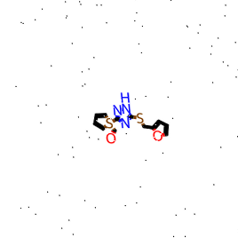 O=CS1(c2n[nH]c(SCc3ccco3)n2)C=CC=C1